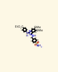 CCOC(=O)c1ccc(Nc2nc(NCc3ccc(S(N)(=O)=O)cc3)c3cc(OC)c(OC)cc3n2)cc1